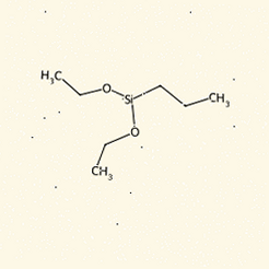 CCC[Si](OCC)OCC